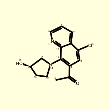 CC(=O)c1cc(Cl)c2cccnc2c1N1CC[C@@H](O)C1